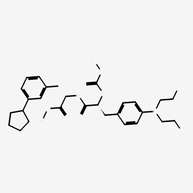 CC(C)(C)OC(=O)N[C@@H](Cc1ccc(N(CCCl)CCCl)cc1)C(=O)N[C@@H](Cc1cccc(C2CCCC2)c1)C(=O)OC(C)(C)C